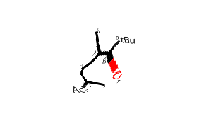 CC(=O)C(C)CC(C)C(=O)C(C)(C)C